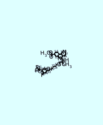 COC(=O)c1ccc2c(c1)nc(NC(C)COCCCCNCc1ccc(OC(F)(F)F)c(F)c1)c1ccncc12